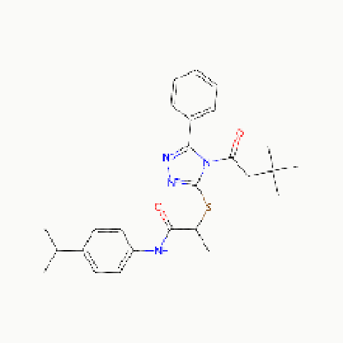 CC(Sc1nnc(-c2ccccc2)n1C(=O)CC(C)(C)C)C(=O)Nc1ccc(C(C)C)cc1